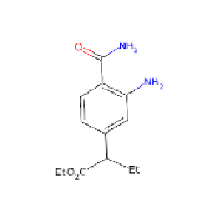 CCOC(=O)C(CC)c1ccc(C(N)=O)c(N)c1